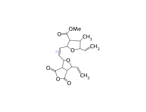 C=CC1OC(/C=C\C2OC(C=C)C3C(=O)OC(=O)C23)C(C(=O)OC)C1C